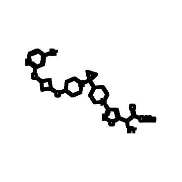 COC(=O)C(c1cc(N2CCC(C3(N4CCC(OC5CC(Oc6cc(Br)ccn6)C5)CC4)CC3)CC2)no1)C(C)C